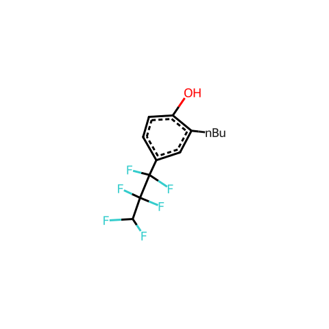 CCCCc1cc(C(F)(F)C(F)(F)C(F)F)ccc1O